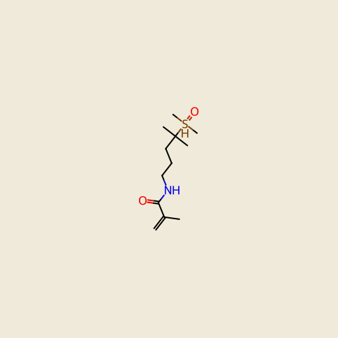 C=C(C)C(=O)NCCCC(C)(C)[SH](C)(C)=O